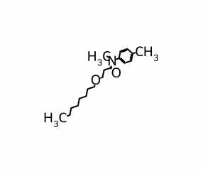 CCCCCCCCOCCC(=O)N(C)c1ccc(C)cc1